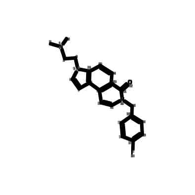 CN(C)CCn1ccc2c3ccn(Cc4ccc(F)cc4)c(=O)c3ccc21